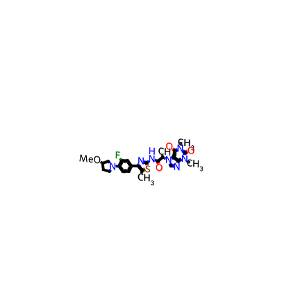 COC1CCN(c2ccc(-c3nc(NC(=O)C(C)n4cnc5c4c(=O)n(C)c(=O)n5C)sc3C)cc2F)C1